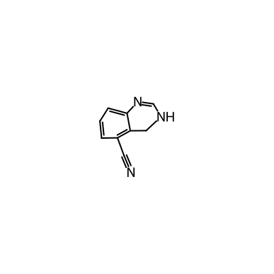 N#Cc1cccc2c1CNC=N2